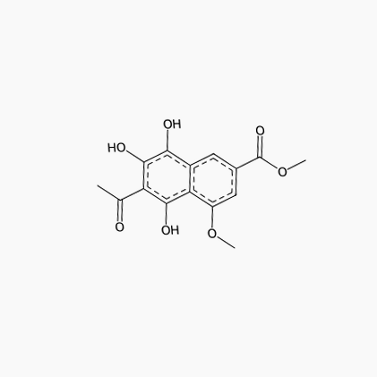 COC(=O)c1cc(OC)c2c(O)c(C(C)=O)c(O)c(O)c2c1